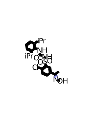 C/C(=N\O)c1ccc(Cl)c(S(=O)(=O)NC(=O)Nc2c(C(C)C)cccc2C(C)C)c1